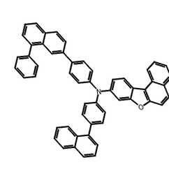 c1ccc(-c2cccc3ccc(-c4ccc(N(c5ccc(-c6cccc7ccccc67)cc5)c5ccc6c(c5)oc5ccc7ccccc7c56)cc4)cc23)cc1